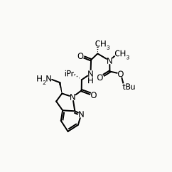 CC(C)[C@H](NC(=O)[C@H](C)N(C)C(=O)OC(C)(C)C)C(=O)N1c2ncccc2C[C@H]1CN